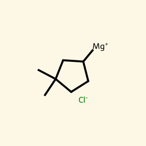 CC1(C)CC[CH]([Mg+])C1.[Cl-]